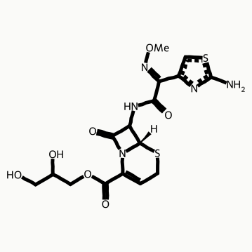 CON=C(C(=O)NC1C(=O)N2C(C(=O)OCC(O)CO)=CCS[C@@H]12)c1csc(N)n1